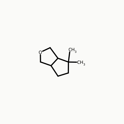 CC1(C)CCC2COCC21